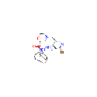 NC(=O)C12CC3CC(C1)C(NC(=O)[C@H]1CN(Cc4ccc(Br)nc4)CCO1)C(C3)C2